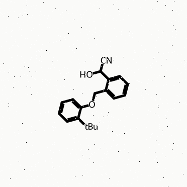 CC(C)(C)c1ccccc1OCc1ccccc1C(O)C#N